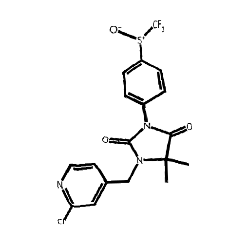 CC1(C)C(=O)N(c2ccc([S+]([O-])C(F)(F)F)cc2)C(=O)N1Cc1ccnc(Cl)c1